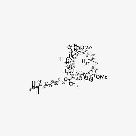 COc1cc2cc(c1Cl)N(C)C(=O)C[C@H](OC(=O)[C@H](C)OCCOCCOCC(=O)NNI)[C@]1(C)O[C@H]1[C@H](C)[C@@H]1C[C@@](O)(NC(=O)O1)[C@H](OC)/C=C/C=C(\C)C2